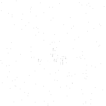 c1c(N/N=C2/CC3CCC2C3)nc(OCCN2CCOCC2)nc1N1CCOCC1